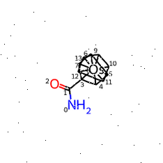 NC(=O)[C]12[CH]3[CH]4[CH]5[CH]1[Os]45321678[CH]2[CH]1[CH]6[CH]7[CH]28